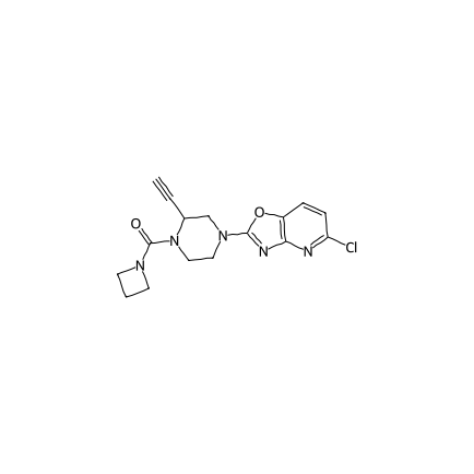 C#CC1CN(c2nc3nc(Cl)ccc3o2)CCN1C(=O)N1CCC1